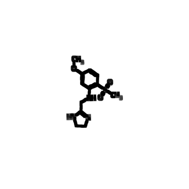 COc1ccc(S(C)(=O)=O)c(NCC2=NCCN2)c1